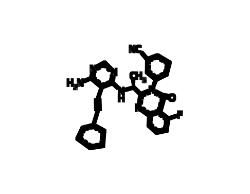 C[C@H](Nc1ncnc(N)c1C#Cc1ccccc1)c1nc2cccc(F)c2c(=O)n1-c1cccc(C#N)c1